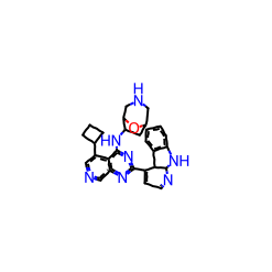 C1=NC2Nc3ccccc3C2C(c2nc(NC3CC4CNCC3O4)c3c(C4CCC4)cncc3n2)=C1